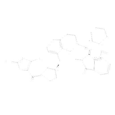 CNC(=O)[C@H]1CCCC[C@H]1C(=O)N1CCc2cccc(O[C@H]3CCN(C(=O)c4sc(C)nc4C)C3)c2[C@H]1CN1C(=O)c2ccccc2C1=O